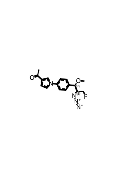 CO[C@H](c1ccc(-n2ccc(C(C)=O)c2)cc1)[C@@H](CF)N=[N+]=[N-]